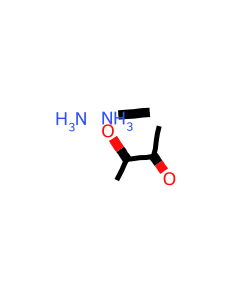 C=C.CC(=O)C(C)=O.N.N